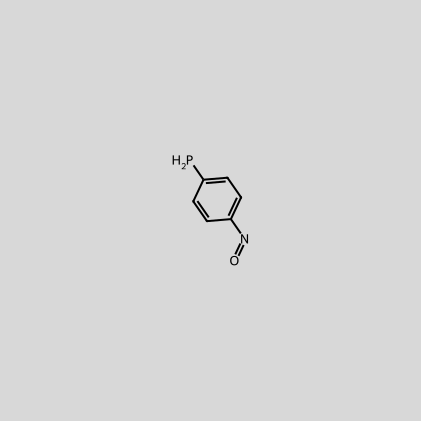 O=Nc1ccc(P)cc1